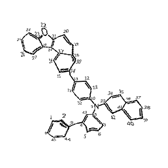 c1ccc(-c2cccc(N(c3ccc(-c4ccc5c(ccc6oc7ccccc7c65)c4)cc3)c3ccc4ccccc4c3)c2)cc1